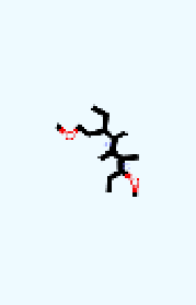 CC/C(OC)=C(C)\C(C)=C(/C)C(CC)CCOC